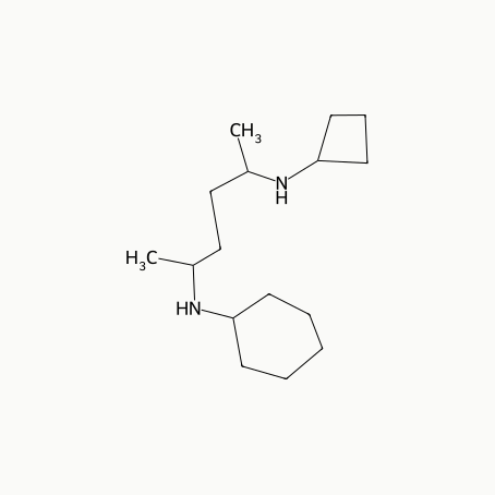 CC(CCC(C)NC1CCC1)NC1CCCCC1